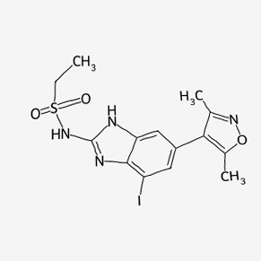 CCS(=O)(=O)Nc1nc2c(I)cc(-c3c(C)noc3C)cc2[nH]1